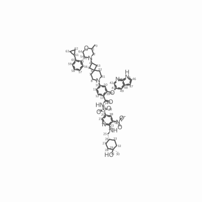 CC1CN(C2CC3(CCN(c4ccc(C(=O)NS(=O)(=O)c5cnc(NC[C@H]6CC[C@](C)(O)CC6)c([N+](=O)[O-])c5)c(Oc5cnc6[nH]ccc6c5)c4)CC3)C2)[C@H](c2ccccc2C2CC2)CO1